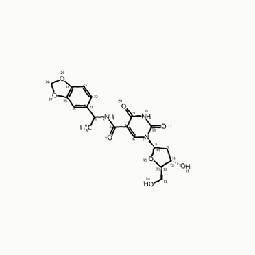 CC(NC(=O)c1cn([C@H]2C[C@H](O)[C@@H](CO)O2)c(=O)[nH]c1=O)c1ccc2c(c1)OCO2